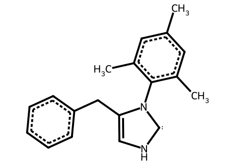 Cc1cc(C)c(N2[C]NC=C2Cc2ccccc2)c(C)c1